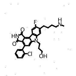 CNCCCCc1cc2c(cc1F)c1c3c(c(-c4ccccc4Cl)cc1n2CCCO)C(=O)NC3=O